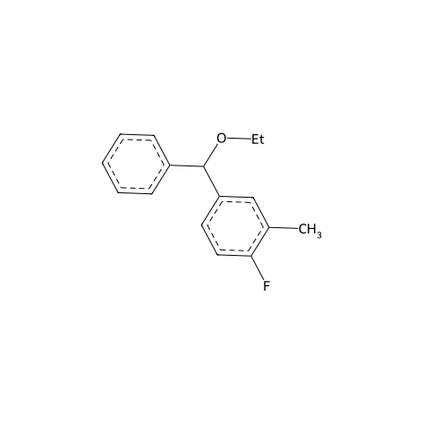 CCOC(c1ccccc1)c1ccc(F)c(C)c1